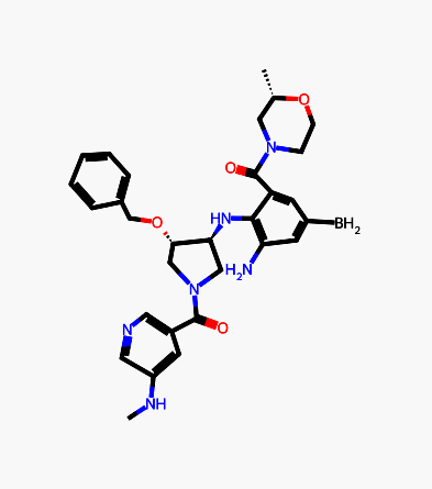 Bc1cc(N)c(N[C@H]2CN(C(=O)c3cncc(NC)c3)C[C@@H]2OCc2ccccc2)c(C(=O)N2CCO[C@@H](C)C2)c1